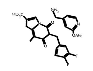 CC1=C2CC(C(=O)O)=CN2C(=O)C(Cc2ccc(F)c(F)c2)C1=O.COc1cc(CN)ccn1